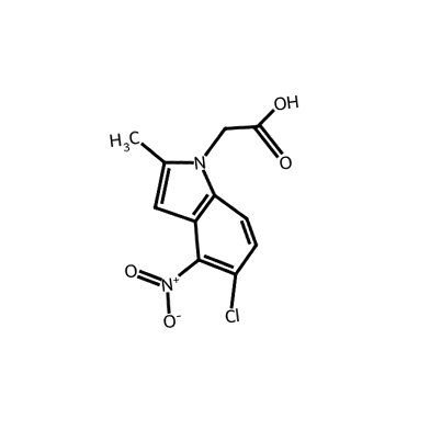 Cc1cc2c([N+](=O)[O-])c(Cl)ccc2n1CC(=O)O